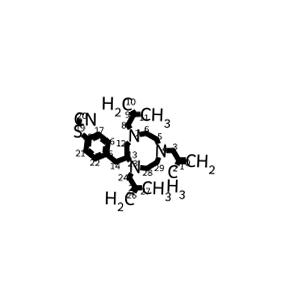 C=C(C)CN1CCN(CC(=C)C)CC(Cc2ccc(SC#N)cc2)N(CC(=C)C)CC1